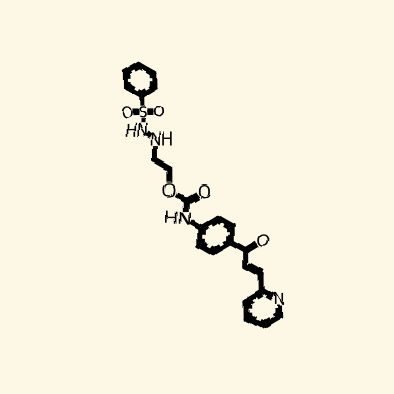 O=C(Nc1ccc(C(=O)/C=C/c2ccccn2)cc1)OCCNNS(=O)(=O)c1ccccc1